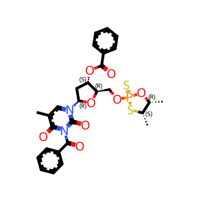 Cc1cn([C@H]2C[C@H](OC(=O)c3ccccc3)[C@@H](COP3(=S)O[C@H](C)[C@H](C)S3)O2)c(=O)n(C(=O)c2ccccc2)c1=O